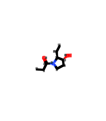 CCC(=O)N1CC[C@@H](O)[C@@H]1CC